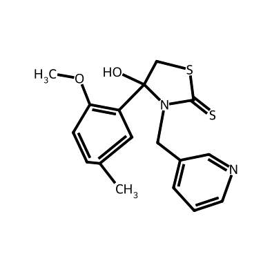 COc1ccc(C)cc1C1(O)CSC(=S)N1Cc1cccnc1